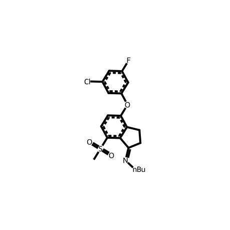 CCCCN=C1CCc2c(Oc3cc(F)cc(Cl)c3)ccc(S(C)(=O)=O)c21